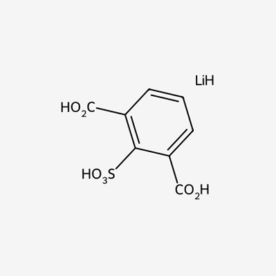 O=C(O)c1cccc(C(=O)O)c1S(=O)(=O)O.[LiH]